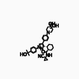 CC(C)(O)c1ccc(-n2cc(-c3ccc(N4CCS(O)(O)CC4)cc3)c([C@@H]3CCCC[C@H]3C(=O)NC3(C#N)CC3)n2)cc1